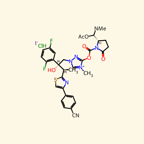 CNC(OC(C)=O)[C@@H]1CCC(=O)N1C(=O)Oc1nn(C[C@](O)(c2cc(F)ccc2F)[C@@H](C)c2nc(-c3ccc(C#N)cc3)cs2)c[n+]1C.Cl.[I-]